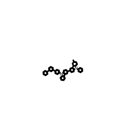 CC1=CC=C2C(C1)c1cc(-c3ccc4c(c3)c3ccccc3n4-c3ccc(-c4cccc(-c5ccccc5)c4)cc3)ccc1N2c1ccccc1